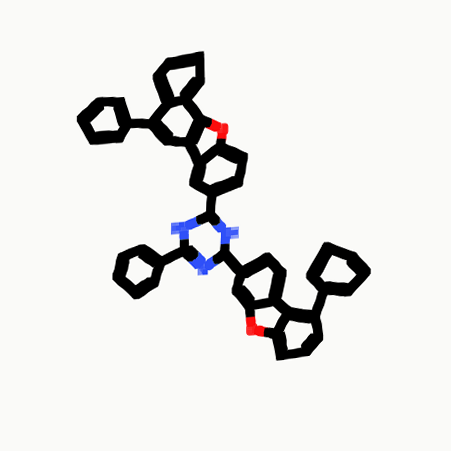 c1ccc(C2=NC(c3ccc4c(c3)oc3cccc(-c5ccccc5)c34)NC(c3ccc4oc5c6ccccc6c(-c6ccccc6)cc5c4c3)N2)cc1